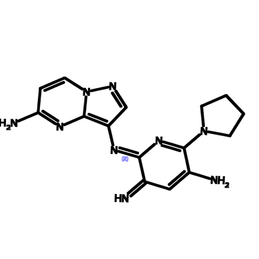 N=C1C=C(N)C(N2CCCC2)=N/C1=N\c1cnn2ccc(N)nc12